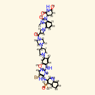 COc1cc(N2CCC(N3CCN(C(=O)C4CN(c5cccc6c5n(C)c(=O)n6C5CCC(=O)NC5=O)C4)CC3)CC2)c(C)cc1Nc1ncc(Br)c(Nc2cnc3ccccc3c2P(C)(C)=O)n1